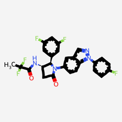 CC(F)(F)C(=O)N[C@H]1CC(=O)N(c2ccc3c(cnn3-c3ccc(F)cc3)c2)[C@@H]1c1cc(F)cc(F)c1